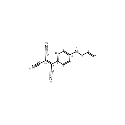 C=CC[N]c1ccc(C(C#N)=C(C#N)C#N)cc1